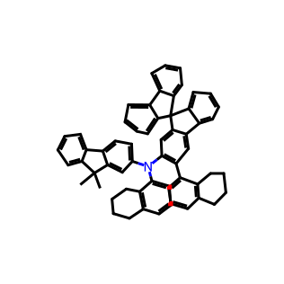 CC1(C)c2ccccc2-c2ccc(N(c3cc4c(cc3-c3cccc5c3CCCC5)-c3ccccc3C43c4ccccc4-c4ccccc43)c3cccc4c3CCCC4)cc21